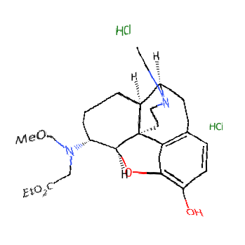 CCOC(=O)CN(OC)[C@@H]1CC[C@H]2[C@H]3Cc4ccc(O)c5c4[C@@]2(CCN3C)[C@H]1O5.Cl.Cl